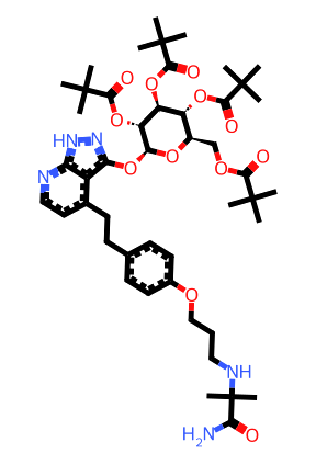 CC(C)(C)C(=O)OC[C@H]1O[C@@H](Oc2n[nH]c3nccc(CCc4ccc(OCCCNC(C)(C)C(N)=O)cc4)c23)[C@H](OC(=O)C(C)(C)C)[C@@H](OC(=O)C(C)(C)C)[C@@H]1OC(=O)C(C)(C)C